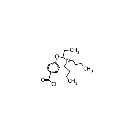 CCCCN(CCCC)C(CC)Oc1ccc(C(=O)Cl)cc1